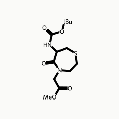 COC(=O)CN1CCSCC(NC(=O)OC(C)(C)C)C1=O